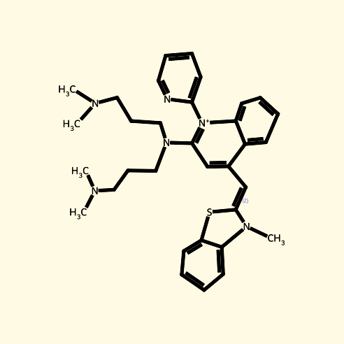 CN(C)CCCN(CCCN(C)C)c1cc(/C=C2\Sc3ccccc3N2C)c2ccccc2[n+]1-c1ccccn1